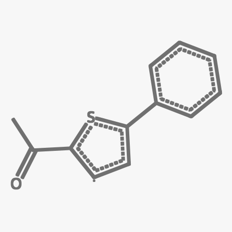 CC(=O)c1[c]cc(-c2ccccc2)s1